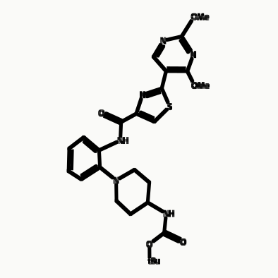 COc1ncc(-c2nc(C(=O)Nc3ccccc3N3CCC(NC(=O)OC(C)(C)C)CC3)cs2)c(OC)n1